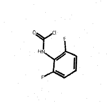 O=C(Cl)Nc1c(F)cccc1F